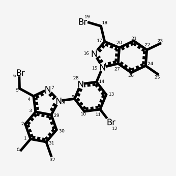 Cc1cc2c(CBr)nn(-c3cc(Br)cc(-n4nc(CBr)c5cc(C)c(C)cc54)n3)c2cc1C